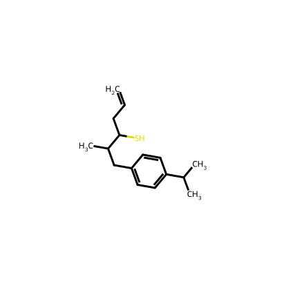 C=CCC(S)C(C)Cc1ccc(C(C)C)cc1